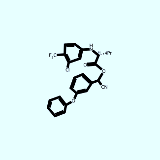 CC(C)[C@@H](Nc1ccc(C(F)(F)F)c(Cl)c1)C(=O)OC(C#N)c1cccc(Oc2ccccc2)c1